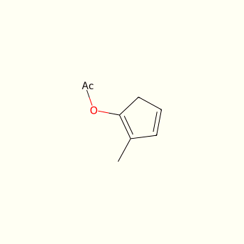 CC(=O)OC1=C(C)C=CC1